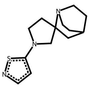 c1cc(N2CCC3(CC4CCN3CC4)C2)sn1